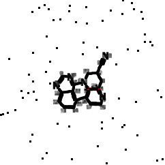 N#CC1CCCN(c2ncnc3cccc(-c4ccncc4)c23)C1